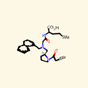 CNCC(=O)N1CCC[C@H]1CN(CC(=O)NC(CCSC)C(=O)O)Cc1cccc2ccccc12